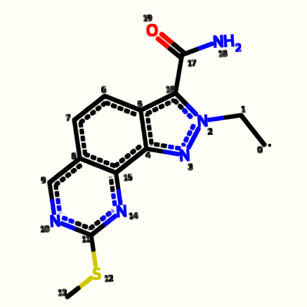 [CH2]Cn1nc2c(ccc3cnc(SC)nc32)c1C(N)=O